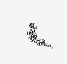 NNC(=O)c1ccc(CC2CN(C(=O)Nc3cccc(OC(F)(F)F)c3)CCS2)c(F)c1